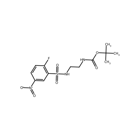 CC(C)(C)OC(=O)NCCNS(=O)(=O)c1cc([N+](=O)[O-])ccc1F